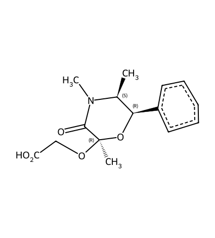 C[C@H]1[C@@H](c2ccccc2)O[C@@](C)(OCC(=O)O)C(=O)N1C